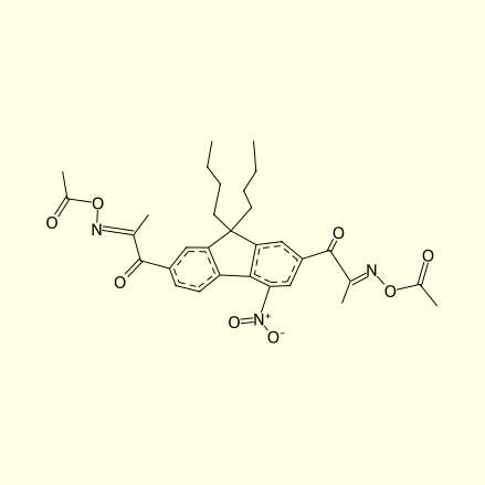 CCCCC1(CCCC)c2cc(C(=O)/C(C)=N/OC(C)=O)ccc2-c2c([N+](=O)[O-])cc(C(=O)/C(C)=N/OC(C)=O)cc21